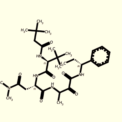 CC[C@@H](NC(=O)C(=O)C(C)NC(=O)[C@H](CC(=O)N(C)C)NC(=O)[C@@H](NC(=O)CC(C)(C)C)C(C)(C)C)c1ccccc1